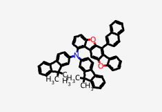 CC1(C)c2ccccc2-c2ccc(N(c3ccc4c(c3)C(C)(C)c3ccccc3-4)c3cccc4oc5c(-c6ccc7ccccc7c6)c6c(cc5c34)oc3ccccc36)cc21